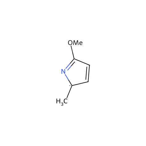 COC1=N[C](C)C=C1